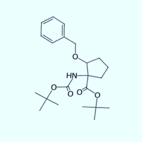 CC(C)(C)OC(=O)NC1(C(=O)OC(C)(C)C)CCCC1OCc1ccccc1